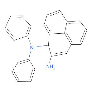 NC1=Cc2cccc3cccc(c23)C1N(c1ccccc1)c1ccccc1